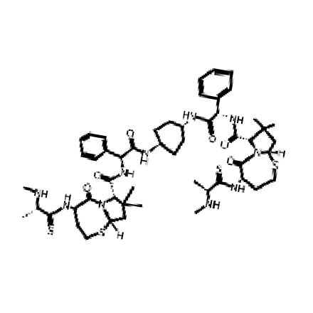 CN[C@@H](C)C(=S)N[C@H]1CCS[C@H]2CC(C)(C)[C@@H](C(=O)N[C@H](C(=O)N[C@H]3CC[C@H](NC(=O)[C@@H](NC(=O)[C@H]4N5C(=O)[C@@H](NC(=S)[C@H](C)NC)CCS[C@H]5CC4(C)C)c4ccccc4)CC3)c3ccccc3)N2C1=O